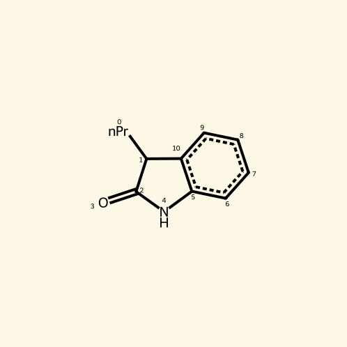 CCCC1C(=O)Nc2ccccc21